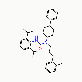 Cc1ccccc1CCCN(C(=O)Nc1c(C(C)C)cccc1C(C)C)C1CCC(c2ccccc2)CC1